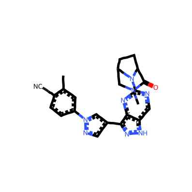 Cc1cc(-n2cc(-c3n[nH]c4cnc(N5C6CCC5C(=O)N(C)C6)nc34)cn2)ccc1C#N